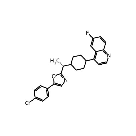 C[C@@H](c1ncc(-c2ccc(Cl)cc2)o1)C1CCC(c2ccnc3ccc(F)cc23)CC1